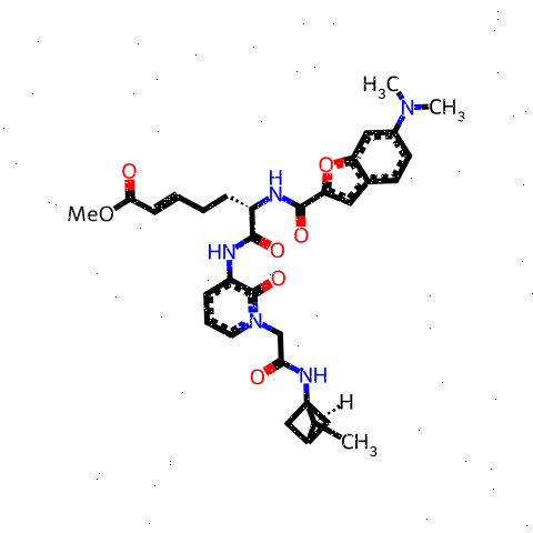 COC(=O)/C=C/CC[C@H](NC(=O)c1cc2ccc(N(C)C)cc2o1)C(=O)Nc1cccn(CC(=O)NC23CC(C2)[C@@H]3C)c1=O